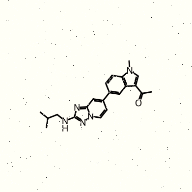 CC(=O)c1cn(C)c2ccc(-c3ccn4nc(NCC(C)C)nc4c3)cc12